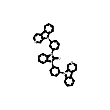 O=c1n(-c2cccc(-n3c4ccccc4c4ccncc43)c2)c2ccccc2n1-c1cccc(-n2c3ccccc3c3ccncc32)c1